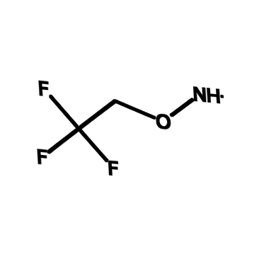 [NH]OCC(F)(F)F